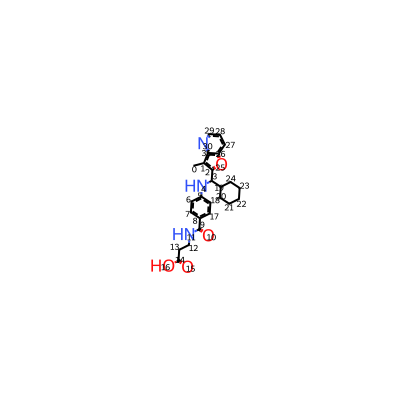 Cc1c(C(Nc2ccc(C(=O)NCCC(=O)O)cc2)C2CCCCC2)oc2cccnc12